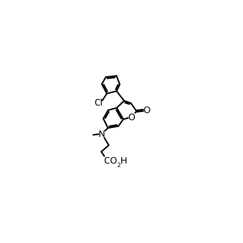 CN(CCC(=O)O)c1ccc2c(-c3ccccc3Cl)cc(=O)oc2c1